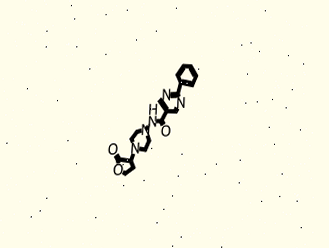 O=C(NN1CCN(C2CCOC2=O)CC1)c1cnc(-c2ccccc2)nc1